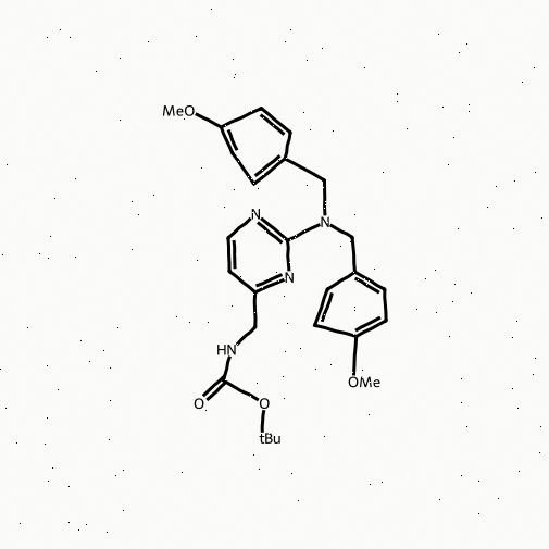 COc1ccc(CN(Cc2ccc(OC)cc2)c2nccc(CNC(=O)OC(C)(C)C)n2)cc1